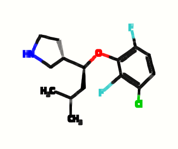 CC(C)C[C@H](Oc1c(F)ccc(Cl)c1F)[C@H]1CCNC1